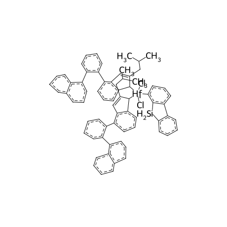 CC(C)CC1=Cc2c(-c3ccccc3-c3cccc4ccccc34)cccc2[CH]1[Hf]([Cl])([Cl])([c]1cccc2c1[SiH2]c1ccccc1-2)[CH]1C(CC(C)C)=Cc2c(-c3ccccc3-c3cccc4ccccc34)cccc21